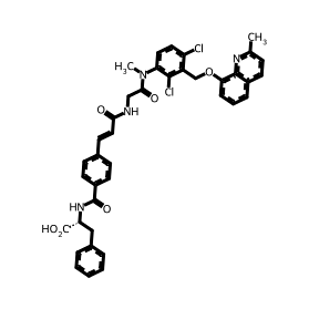 Cc1ccc2cccc(OCc3c(Cl)ccc(N(C)C(=O)CNC(=O)/C=C/c4ccc(C(=O)N[C@H](Cc5ccccc5)C(=O)O)cc4)c3Cl)c2n1